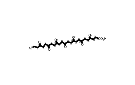 CC(=O)CCC(=O)CCC(=O)CCC(=O)CCC(=O)CCC(=O)CCC(=O)CCC(=O)CCC(=O)O